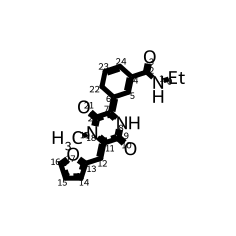 CCNC(=O)C1=C/C(=c2\[nH]c(=O)/c(=C/c3ccco3)n(C)c2=O)CC=C1